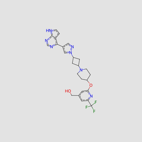 OCc1cc(OC2CCN(C3CC(n4cc(-c5ncnc6[nH]ccc56)cn4)C3)CC2)nc(C(F)(F)F)c1